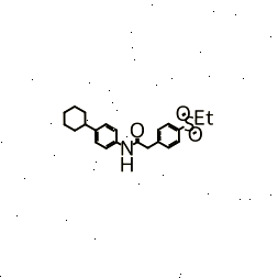 CCS(=O)(=O)c1ccc(CC(=O)Nc2ccc(C3CCCCC3)cc2)cc1